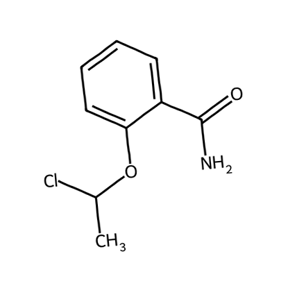 CC(Cl)Oc1ccccc1C(N)=O